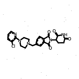 O=C1CCC(N2C(=O)c3ccc(CN4CCN(c5ncccc5Cl)CC4)cc3C2=O)C(=O)N1